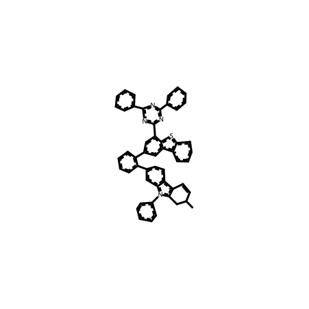 CC1C=Cc2c(n(-c3ccccc3)c3cc(-c4ccccc4-c4cc(-c5nc(-c6ccccc6)nc(-c6ccccc6)n5)c5sc6ccccc6c5c4)ccc23)C1